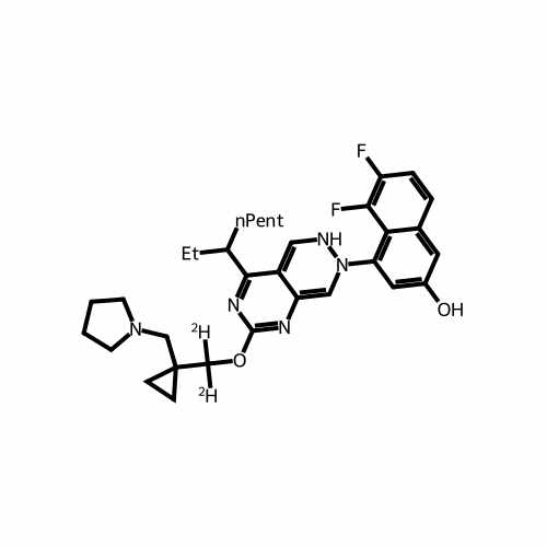 [2H]C([2H])(Oc1nc(C(CC)CCCCC)c2c(n1)=CN(c1cc(O)cc3ccc(F)c(F)c13)NC=2)C1(CN2CCCC2)CC1